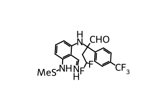 CSNc1cccc(NC(C=O)(CC(F)F)c2ccc(C(F)(F)F)cc2)c1C=N